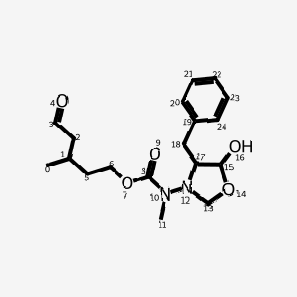 CC(CC=O)CCOC(=O)N(C)N1COC(O)C1Cc1ccccc1